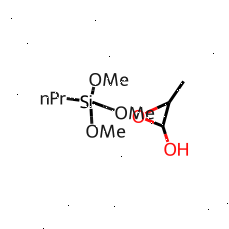 CC1OC1O.CCC[Si](OC)(OC)OC